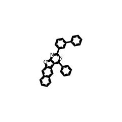 c1ccc(-c2cccc(-c3nc(-c4ccccc4)c4c(n3)oc3cc5ccccc5cc34)c2)cc1